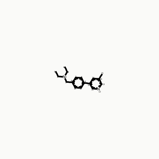 CCN(CC)Cc1ccc(-c2cncc(C)c2)cc1